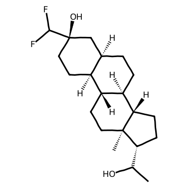 CC(O)[C@H]1CC[C@H]2[C@@H]3CC[C@@H]4C[C@@](O)(C(F)F)CC[C@@H]4[C@H]3CC[C@]12C